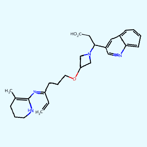 C=C/C(CCCOC1CN(C(CC(=O)O)c2cnc3ccccc3c2)C1)=N\C1=C(C)CCCN1